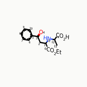 CCOC(=O)C(CC(=O)c1ccccc1)NC(C)C(=O)O